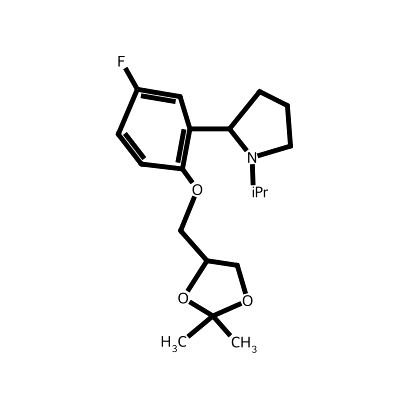 CC(C)N1CCCC1c1cc(F)ccc1OCC1COC(C)(C)O1